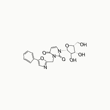 O=c1ccn([C@@H]2O[C@H](CO)[C@H](O)C2O)c(=O)n1Cc1ncc(-c2ccccc2)o1